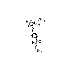 CC(C)(CCN)C(=O)SCc1ccc(C(=O)N(I)CCN)cc1